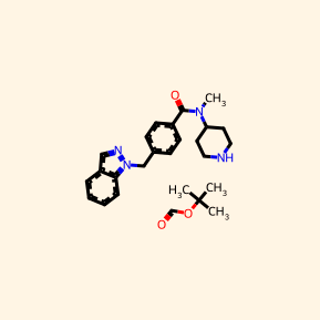 CC(C)(C)OC=O.CN(C(=O)c1ccc(Cn2ncc3ccccc32)cc1)C1CCNCC1